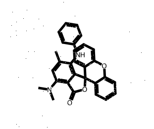 Cc1cc(N(C)C)c2c(c1Nc1ccccc1)C1(OC2=O)c2ccccc2Oc2ccccc21